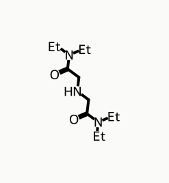 CCN(CC)C(=O)CNCC(=O)N(CC)CC